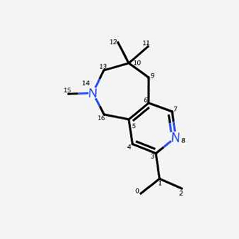 CC(C)c1cc2c(cn1)CC(C)(C)CN(C)C2